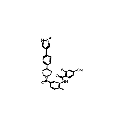 Cc1ccc(C(=O)N2CCC(c3ccc(-c4cnn(C)c4)cc3)CC2)cc1NC(=O)c1ccc(C#N)cc1F